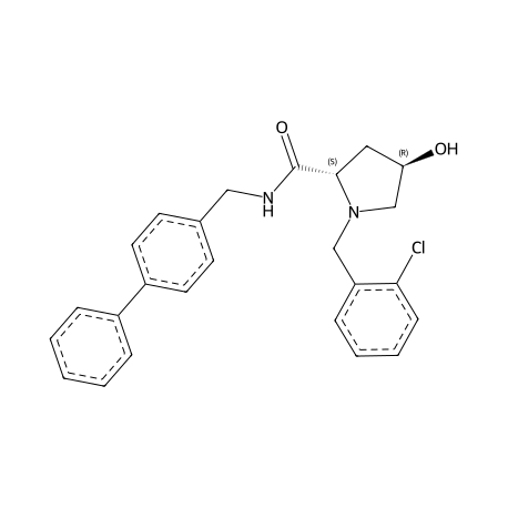 O=C(NCc1ccc(-c2ccccc2)cc1)[C@@H]1C[C@@H](O)CN1Cc1ccccc1Cl